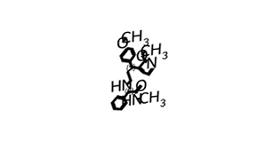 CNC(=O)[C@@H](NCC[C@@H](c1ccc(OC)cc1)c1cccnc1OC)c1ccccc1